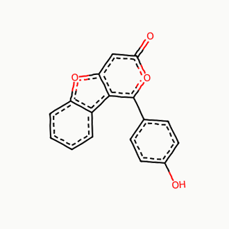 O=c1cc2oc3ccccc3c2c(-c2ccc(O)cc2)o1